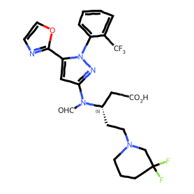 O=CN(c1cc(-c2ncco2)n(-c2ccccc2C(F)(F)F)n1)[C@@H](CCN1CCCC(F)(F)C1)CC(=O)O